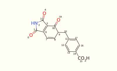 O=C1NC(=O)C2=C1C=CC(Cc1ccc(C(=O)O)cc1)C2=O